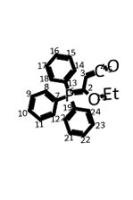 CCOC(C=C=O)=P(c1ccccc1)(c1ccccc1)c1ccccc1